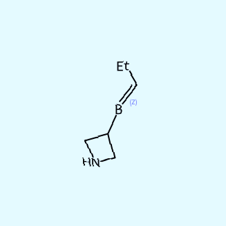 CC/C=B\C1CNC1